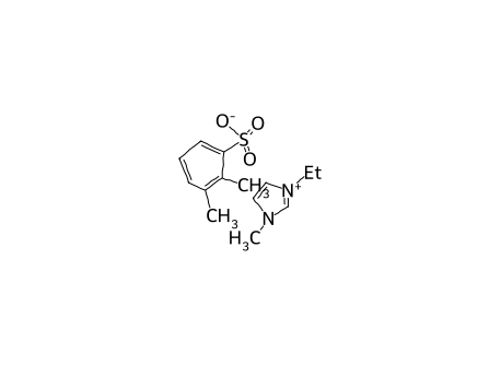 CC[n+]1ccn(C)c1.Cc1cccc(S(=O)(=O)[O-])c1C